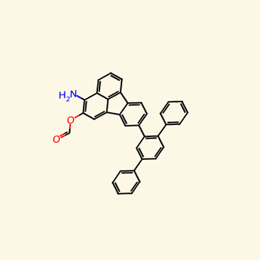 Nc1c(OC=O)cc2c3c(cccc13)-c1ccc(-c3cc(-c4ccccc4)ccc3-c3ccccc3)cc1-2